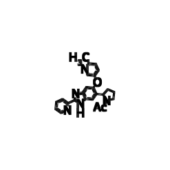 CC(=O)N1CCCC1c1cc2[nH]c(-c3ccccn3)nc2cc1Oc1ccc(C)nc1